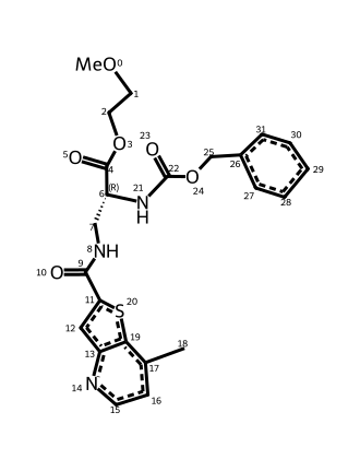 COCCOC(=O)[C@@H](CNC(=O)c1cc2nccc(C)c2s1)NC(=O)OCc1ccccc1